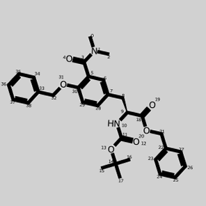 CN(C)C(=O)c1cc(C[C@H](NC(=O)OC(C)(C)C)C(=O)OCc2ccccc2)ccc1OCc1ccccc1